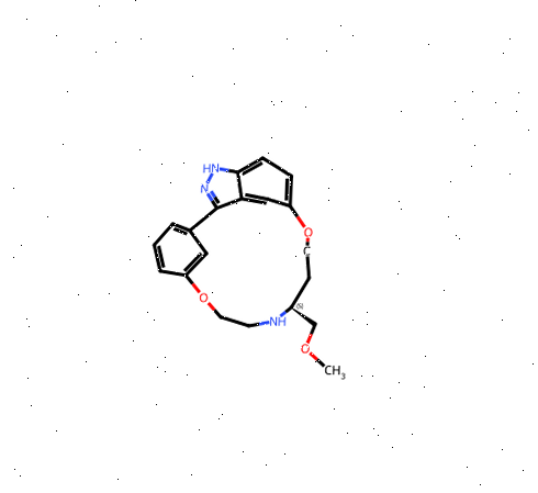 COC[C@@H]1CCOc2ccc3[nH]nc(c3c2)-c2cccc(c2)OCCN1